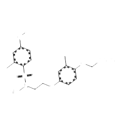 CCCN(CCSc1ccc(OCC(=O)OCC)c(C)c1)S(=O)(=O)c1ccc(OC(F)(F)F)cc1C